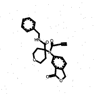 C#CC(=O)N(c1ccc2c(c1)C(=O)OC2)C1(C(=O)NCc2ccccc2)CCOCC1